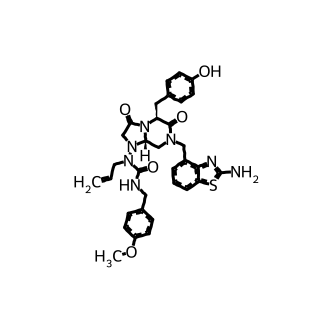 C=CCN(C(=O)NCc1ccc(OC)cc1)N1CC(=O)N2[C@@H](Cc3ccc(O)cc3)C(=O)N(Cc3cccc4sc(N)nc34)C[C@@H]21